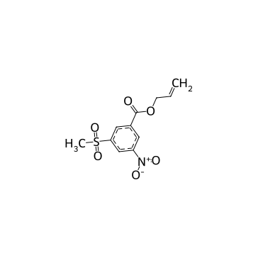 C=CCOC(=O)c1cc([N+](=O)[O-])cc(S(C)(=O)=O)c1